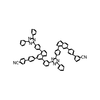 N#Cc1ccc(-c2ccc(-c3cc(-c4cccc(-c5nc(-c6ccccc6)nc(-c6ccc(-c7cccc8ccc(-c9ccc(-c%10cccc(C#N)c%10)cc9)cc78)cc6)n5)c4)c4cccc(-c5ccc(-c6nc(-c7ccccc7)nc(-c7ccccc7)n6)cc5)c4c3)cc2)cc1